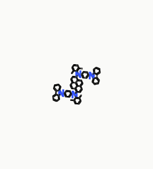 Cc1cccc(C)c1N(c1ccc(-n2c3ccccc3c3ccccc32)cc1)c1ccc2ccc3c(N(c4ccc(-n5c6ccccc6c6ccccc65)cc4)c4c(C)cccc4C)ccc4ccc1c2c43